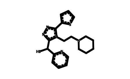 SC(c1ccccn1)c1nnc(-c2cccs2)n1CCN1CCCCC1